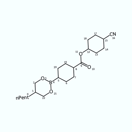 CCCCCC1COB(C2CCC(C(=O)OC3CCC(C#N)CC3)CC2)OC1